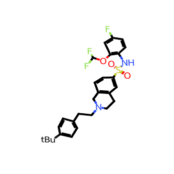 CC(C)(C)c1ccc(CCN2CCc3cc(S(=O)(=O)Nc4ccc(F)cc4OC(F)F)ccc3C2)cc1